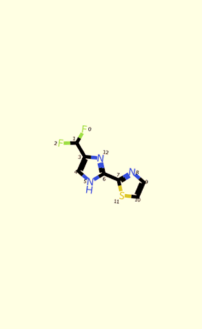 FC(F)c1c[nH]c(-c2nccs2)n1